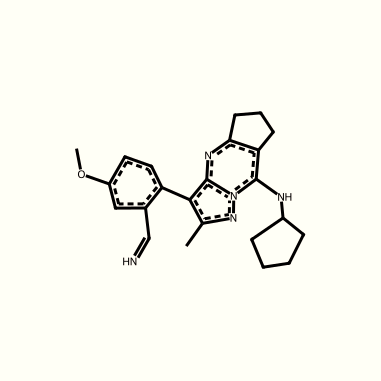 COc1ccc(-c2c(C)nn3c(NC4CCCC4)c4c(nc23)CCC4)c(C=N)c1